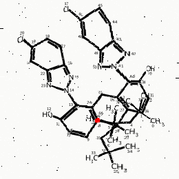 CC(C)(C)CC(C)(C)c1c[c]c(O)c(-n2nc3ccc(Cl)cc3n2)c1Cc1c(C(C)(C)CC(C)(C)C)c[c]c(O)c1-n1nc2ccc(Cl)cc2n1